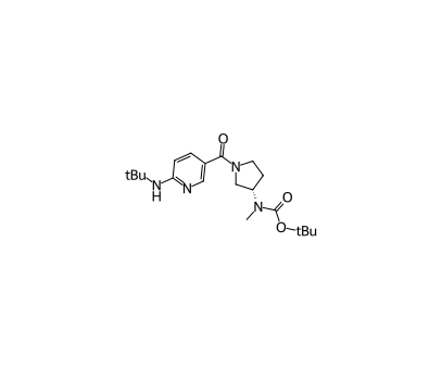 CN(C(=O)OC(C)(C)C)[C@H]1CCN(C(=O)c2ccc(NC(C)(C)C)nc2)C1